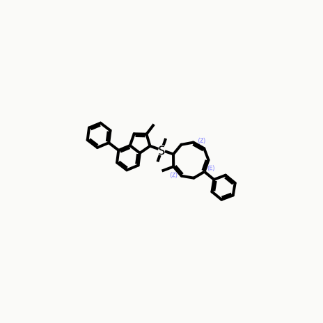 CC1=Cc2c(-c3ccccc3)cccc2C1S(C)(C)C1C/C=C\C=C(\c2ccccc2)C/C=C\1C